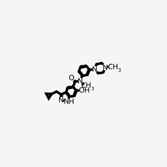 CN1CCN(c2cccc(N(C)C(=O)c3cc4c(CC5CC5)n[nH]c4cc3O)c2)CC1